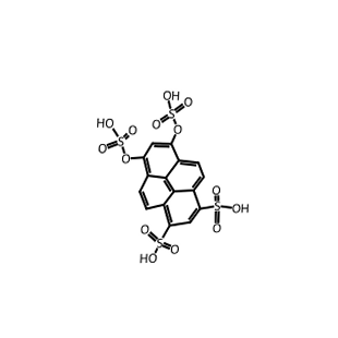 O=S(=O)(O)Oc1cc(OS(=O)(=O)O)c2ccc3c(S(=O)(=O)O)cc(S(=O)(=O)O)c4ccc1c2c43